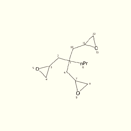 CCCC(CC1CO1)(CC1CO1)CC1CO1